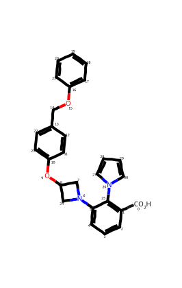 O=C(O)c1cccc(N2CC(Oc3ccc(COc4ccccc4)cc3)C2)c1-n1cccc1